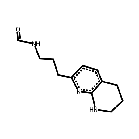 O=CNCCCc1ccc2c(n1)NCCC2